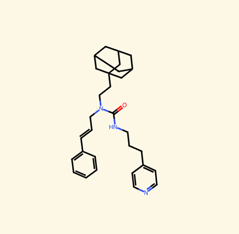 O=C(NCCCc1ccncc1)N(C/C=C/c1ccccc1)CCC12CC3CC(CC(C3)C1)C2